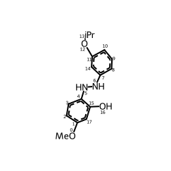 COc1ccc(NNc2cccc(OC(C)C)c2)c(O)c1